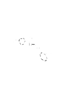 Cc1ccc([S@+]([O-])N=CCCc2ccccc2C)cc1